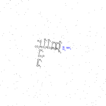 C=C.C=C.C=C.CC(=O)O.CC(=O)O.CC(=O)O.CC(=O)O.CC(=O)O.N.N